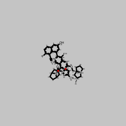 C#Cc1c(F)ccc2cc(O)cc(-c3ncc4c(N5CC6CCC(C5)N6C(=O)n5ccc(C#N)n5)nc(OC[C@@]56CCCN5C[C@H](F)C6)nc4c3F)c12